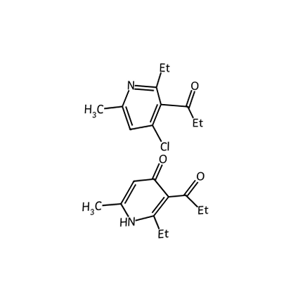 CCC(=O)c1c(CC)[nH]c(C)cc1=O.CCC(=O)c1c(Cl)cc(C)nc1CC